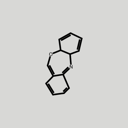 C1=CC2N=c3ccccc3=COC2C=C1